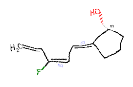 C=C/C(F)=C\C=C1/CCC[C@H]1O